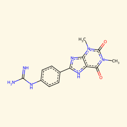 Cn1c(=O)c2[nH]c(-c3ccc(NC(=N)N)cc3)nc2n(C)c1=O